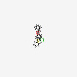 [CH2]C(Cl)(Sc1ccccc1)c1ccc(OCc2ccccc2)cc1